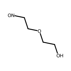 O=NCCOCCO